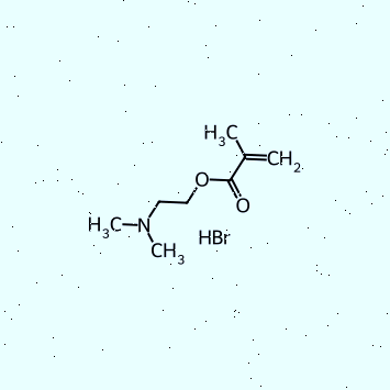 Br.C=C(C)C(=O)OCCN(C)C